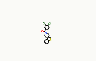 O=C(c1ccc(Cl)c(Cl)c1)N1CCC2(CC1)CSc1ccccc12